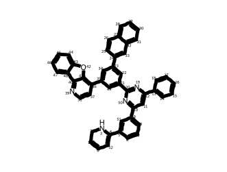 C1=CCNC(c2cccc(-c3cc(-c4ccccc4)nc(-c4cc(-c5ccc6ccccc6c5)cc(-c5ccnc6c5oc5ccccc56)c4)n3)c2)=C1